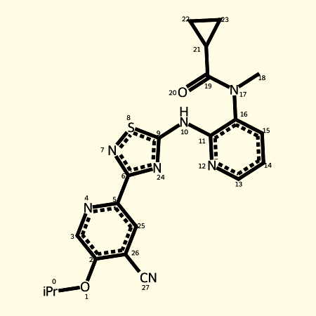 CC(C)Oc1cnc(-c2nsc(Nc3ncccc3N(C)C(=O)C3CC3)n2)cc1C#N